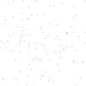 FC(F)(F)C(Oc1nccn2nc(Br)nc12)C(F)(F)F